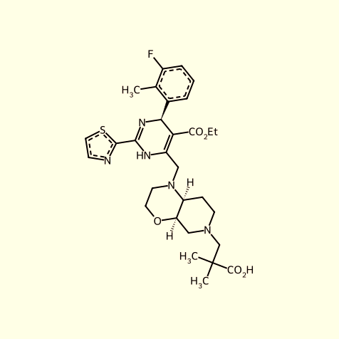 CCOC(=O)C1=C(CN2CCO[C@@H]3CN(CC(C)(C)C(=O)O)CC[C@@H]32)NC(c2nccs2)=N[C@H]1c1cccc(F)c1C